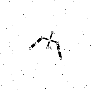 CC[Si](C)(N=C=O)N=C=O